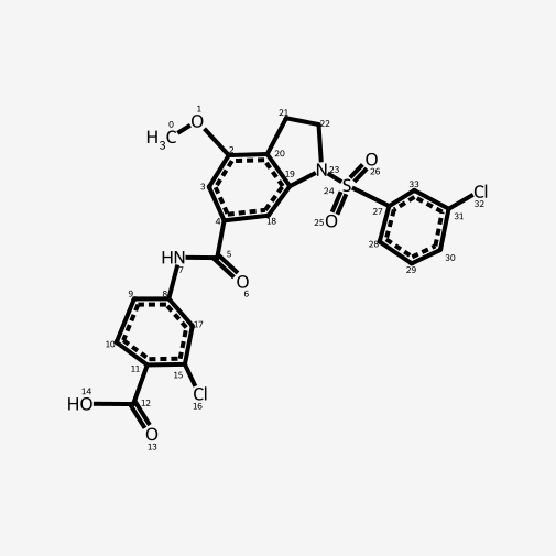 COc1cc(C(=O)Nc2ccc(C(=O)O)c(Cl)c2)cc2c1CCN2S(=O)(=O)c1cccc(Cl)c1